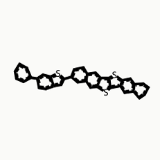 c1ccc(-c2ccc3cc(-c4ccc5cc6c(cc5c4)sc4c5cc7ccccc7cc5sc64)sc3c2)cc1